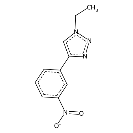 CCn1cc(-c2cccc([N+](=O)[O-])c2)nn1